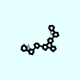 c1cc(-c2ccc3c4ccccc4c4cc(-c5cccc6c5sc5ccccc56)ccc4c3c2)cc(-c2cccc3c2sc2ccccc23)c1